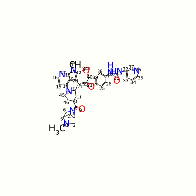 CN1CC2CC1CN2C(=O)C1CCN(c2ccnc3c2c(C=C2Oc4ccc(NC(=O)Nc5cccnc5)cc4C2=O)cn3C)CC1